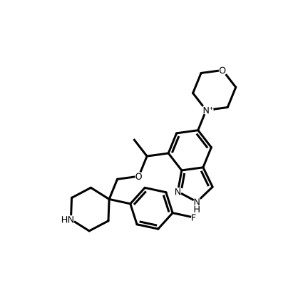 CC(OCC1(c2ccc(F)cc2)CCNCC1)c1cc([N+]2CCOCC2)cc2c[nH]nc12